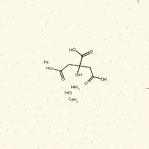 Cl.N.O=C(O)CC(O)(CC(=O)O)C(=O)O.[CaH2].[Fe]